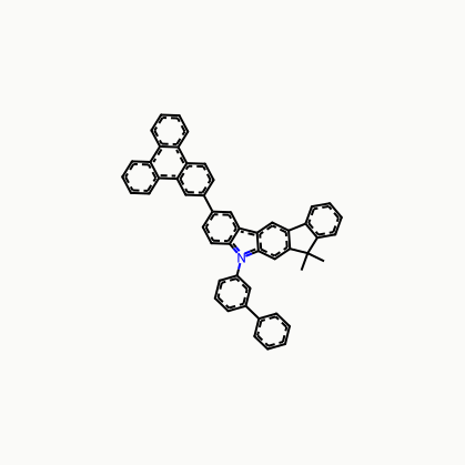 CC1(C)c2ccccc2-c2cc3c4cc(-c5ccc6c7ccccc7c7ccccc7c6c5)ccc4n(-c4cccc(-c5ccccc5)c4)c3cc21